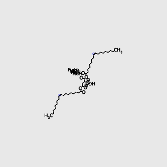 CCCCCCCC/C=C\CCCCCCCC(=O)OC(=O)CC(C(=O)OC(=O)CCCCCCC/C=C\CCCCCCCC)S(=O)(=O)O.[NaH].[NaH].[NaH].[NaH]